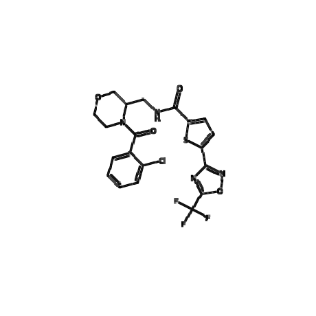 O=C(NCC1COCCN1C(=O)c1ccccc1Cl)c1ccc(-c2noc(C(F)(F)F)n2)s1